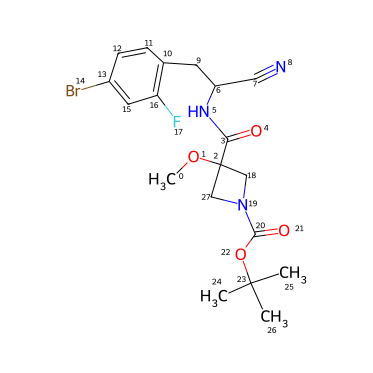 COC1(C(=O)NC(C#N)Cc2ccc(Br)cc2F)CN(C(=O)OC(C)(C)C)C1